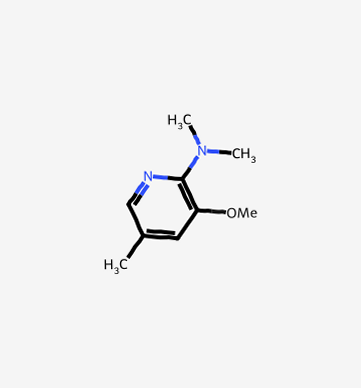 COc1cc(C)cnc1N(C)C